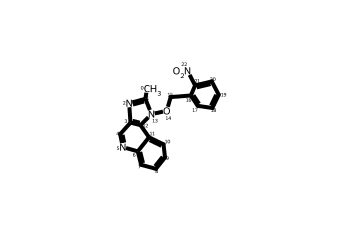 Cc1nc2cnc3ccccc3c2n1OCc1ccccc1[N+](=O)[O-]